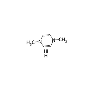 CN1C=CN(C)C=C1.I.I